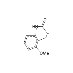 COc1cccc2c1C[CH]C(=O)N2